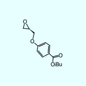 CC(C)COC(=O)c1ccc(OC[C@H]2CO2)cc1